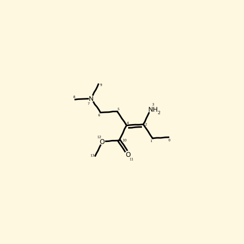 CCC(N)=C(CCN(C)C)C(=O)OC